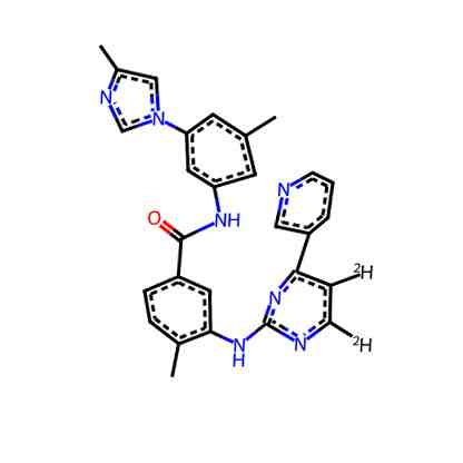 [2H]c1nc(Nc2cc(C(=O)Nc3cc(C)cc(-n4cnc(C)c4)c3)ccc2C)nc(-c2cccnc2)c1[2H]